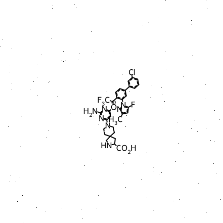 Cc1cc(F)n(-c2cc(-c3cccc(Cl)c3)ccc2[C@@H](Oc2cc(N3CCC4(CC3)CNC(C(=O)O)C4)nc(N)n2)C(F)(F)F)n1